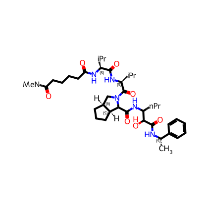 CCCC(NC(=O)C1[C@H]2CCC[C@H]2CN1C(=O)[C@@H](NC(=O)[C@@H](NC(=O)CCCCC(=O)NC)C(C)C)C(C)C)C(O)C(=O)N[C@@H](C)c1ccccc1